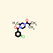 CC(C)C(=O)N1CCN(C(=O)c2cccc(Cl)c2)C(C)C1